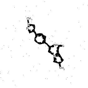 Cc1cc2c(=O)[nH]c(-c3ccc(-c4cnn(C)c4)cc3)cn2c1